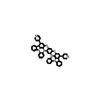 c1ccc2c(c1)B1c3cc4c(cc3Sc3cc(-c5ccncc5)c5c6ccccc6n-2c5c31)Sc1cc(-c2ccncc2)c2c3ccccc3n3c2c1B4c1ccccc1-3